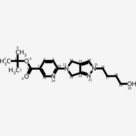 CC(C)(C)OC(=O)c1ccc(N2Cc3cn(CCCCO)nc3C2)nc1